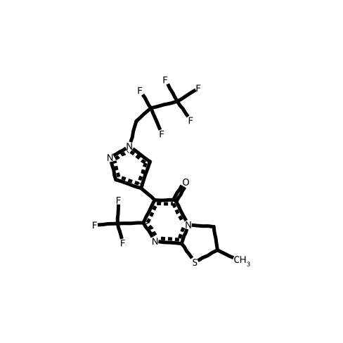 CC1Cn2c(nc(C(F)(F)F)c(-c3cnn(CC(F)(F)C(F)(F)F)c3)c2=O)S1